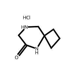 Cl.O=C1CNCC2(CCC2)N1